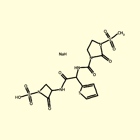 CS(=O)(=O)N1CCN(C(=O)NC(C(=O)NC2CN(S(=O)(=O)O)C2=O)c2cccs2)C1=O.[NaH]